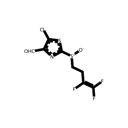 O=Cc1nc([S+]([O-])CCC(F)=C(F)F)sc1Cl